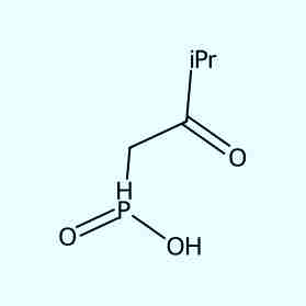 CC(C)C(=O)C[PH](=O)O